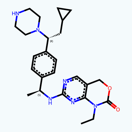 CCN1C(=O)OCc2cnc(N[C@@H](C)c3ccc([C@@H](CC4CC4)N4CCNCC4)cc3)nc21